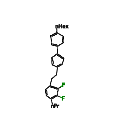 CCCCCCc1ccc(-c2ccc(CCc3ccc(CCC)c(F)c3F)cc2)cc1